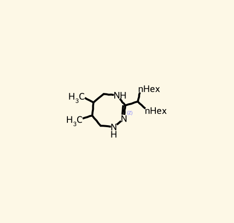 CCCCCCC(CCCCCC)/C1=N/NCC(C)C(C)CN1